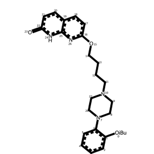 CC(C)COc1ccccc1N1CCN(CCCCOc2ccc3ccc(=O)[nH]c3n2)CC1